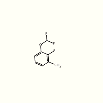 [CH2]c1cccc(OC(F)F)c1F